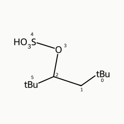 CC(C)(C)CC(OS(=O)(=O)O)C(C)(C)C